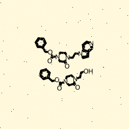 O=C1CN(C(=O)OCc2ccccc2)CCN1CCO.O=C1CN(C(=O)OCc2ccccc2)CCN1CCn1ccc2cnccc21